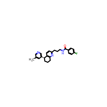 Cc1cncc([C@@H]2CCCc3nc(CCCNC(=O)c4ccc(F)cc4)ccc32)c1